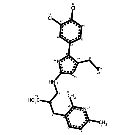 Cc1ccc(CC(CNc2nc(-c3ccc(Cl)c(Cl)c3)c(CC(C)C)s2)C(=O)O)c(C)n1